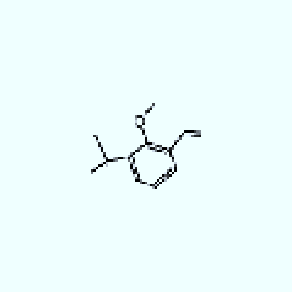 C=Cc1cccc([C](C)C)c1OC